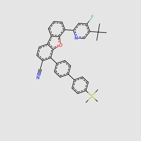 CC(C)(C)c1cnc(-c2cccc3c2oc2c(-c4ccc(-c5ccc(S(C)(C)C)cc5)cc4)c(C#N)ccc23)cc1F